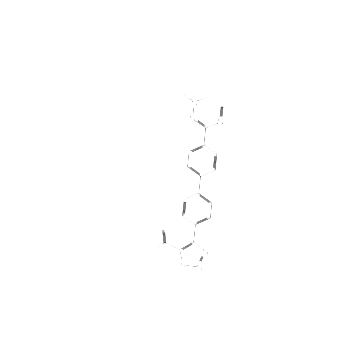 C=N/C(=N\N(C)C)c1ccc(-c2ccc(-c3nn[nH]c3C(=O)O)cc2)cc1